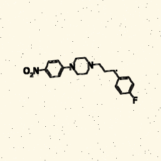 O=[N+]([O-])c1ccc(N2CCN(CC[CH]c3ccc(F)cc3)CC2)cc1